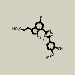 CC(C)Oc1ccc(-c2nc(-c3cc(F)cc4c(CCC(=O)O)cn(C)c34)no2)cc1C#N